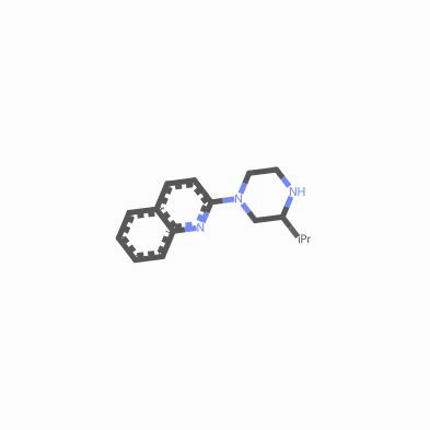 CC(C)C1CN(c2ccc3ccccc3n2)CCN1